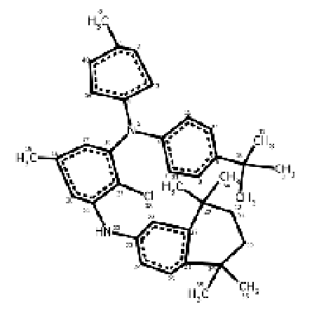 Cc1ccc(N(c2ccc(C(C)(C)C)cc2)c2cc(C)cc(Nc3ccc4c(c3)C(C)(C)CCC4(C)C)c2Cl)cc1